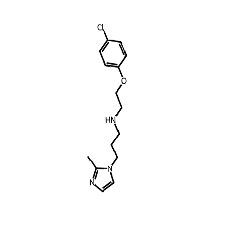 Cc1nccn1CCCNCCOc1ccc(Cl)cc1